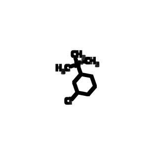 C[N+](C)(C)C1CCCC(Cl)C1